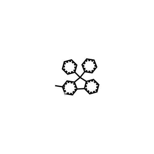 Cc1cc2c(cn1)-c1ccccc1C2(c1ccccc1)c1ccccc1